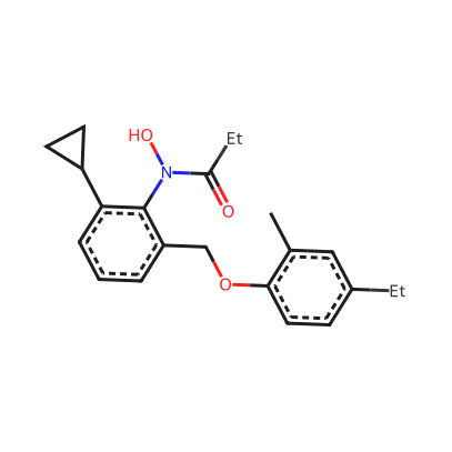 CCC(=O)N(O)c1c(COc2ccc(CC)cc2C)cccc1C1CC1